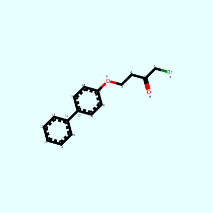 O=C(CBr)CCOc1ccc(-c2ccccc2)cc1